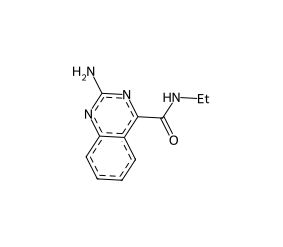 CCNC(=O)c1nc(N)nc2ccccc12